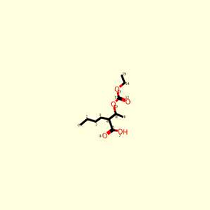 CCCCC(C(=O)O)C(C)OC(=O)OCC